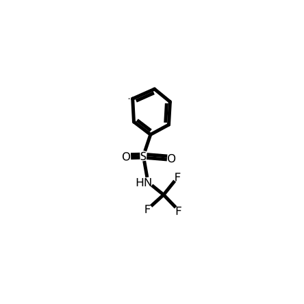 O=S(=O)(NC(F)(F)F)c1c[c]ccc1